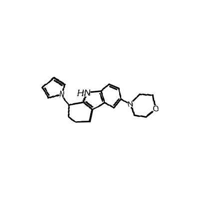 c1ccn(C2CCCc3c2[nH]c2ccc(N4CCOCC4)cc32)c1